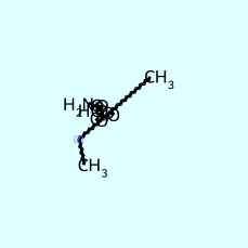 CCCCCCCC/C=C\CCCCCCCC(=O)O[C@H](COC(=O)CCCCCCCCCCCCCCCCC)COP(=O)(O)OCCN